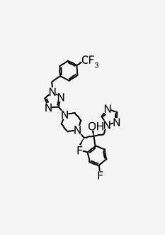 C[C@@H](N1CCN(c2ncn(Cc3ccc(C(F)(F)F)cc3)n2)CC1)[C@](O)(Cn1cncn1)c1ccc(F)cc1F